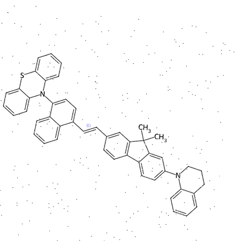 CC1(C)c2cc(/C=C/c3ccc(N4c5ccccc5Sc5ccccc54)c4ccccc34)ccc2-c2ccc(N3CCCc4ccccc43)cc21